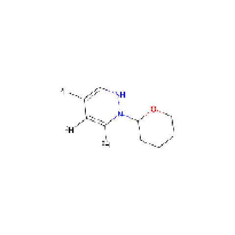 [2H]C1=CNN(C2CCCCO2)C([2H])=C1[2H]